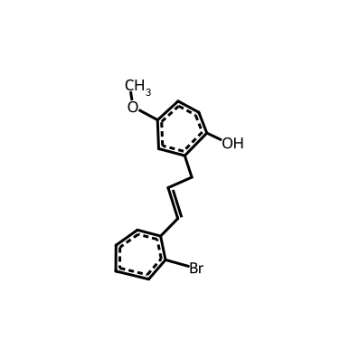 COc1ccc(O)c(CC=Cc2ccccc2Br)c1